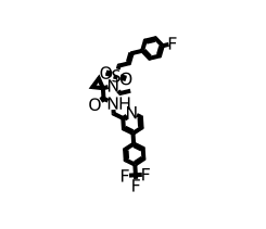 CCN(C1(C(=O)NCc2cc(-c3ccc(C(F)(F)F)cc3)ccn2)CC1)S(=O)(=O)CC=Cc1ccc(F)cc1